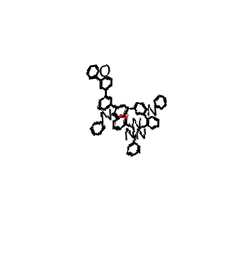 c1ccc(-c2nc(-c3ccccc3)nc(-c3cccc4c3c3cc(-c5ccc6c(c5)c5cc(-c7ccc8oc9ccccc9c8c7)ccc5n6-c5ccccc5)ccc3n4-c3ccccc3)n2)cc1